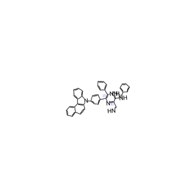 C=C(Nc1ccccc1)/C(C=N)=N\C(=C(/N)c1ccccc1)c1ccc(-n2c3ccccc3c3c4ccccc4ccc32)cc1